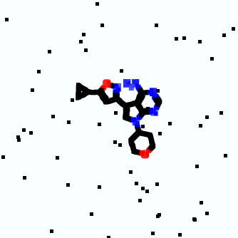 Nc1ncnc2c1c(-c1cc(C3CC3)on1)cn2C1CCOCC1